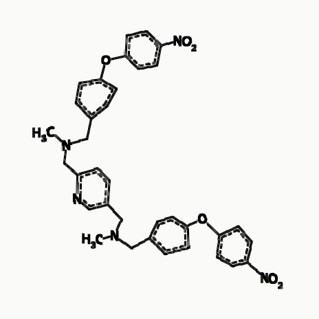 CN(Cc1ccc(Oc2ccc([N+](=O)[O-])cc2)cc1)Cc1ccc(CN(C)Cc2ccc(Oc3ccc([N+](=O)[O-])cc3)cc2)nc1